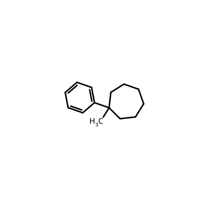 CC1(c2ccccc2)CCCCCC1